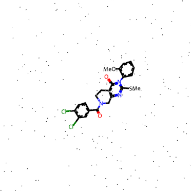 COc1ccccc1-n1c(SC)nc2c(c1=O)CCN(C(=O)c1ccc(Cl)c(Cl)c1)C2